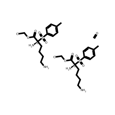 C=O.Cc1ccc(S(=O)(=O)[C@](N)(CCCCN)C(=O)OCCl)cc1.Cc1ccc(S(=O)(=O)[C@](N)(CCCCN)C(=O)OCCl)cc1